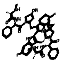 CN[C@@H](C)C(=O)N[C@H](C(=O)N1C[C@@H](O)C[C@H]1Cc1c(-c2[nH]c3cc(F)ccc3c2C[C@@H]2CC3(CC3)CN2C(=O)[C@@H](NC(=O)[C@H](C)NC)C2CCCCC2)[nH]c2cc(F)ccc12)C1CCCCC1